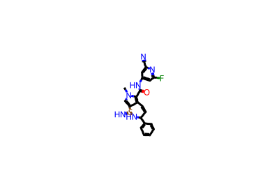 Cn1cc2c(c1C(=O)Nc1cc(F)nc(C#N)c1)C=CC(c1ccccc1)NS2=N